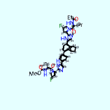 CCC(=O)N[C@H](C(=O)N1C[C@@H](F)CC1c1ncc(-c2ccc(-c3ccc(-c4cnc([C@@H]5C[C@H](F)CN5C(=O)[C@@H](NC(=O)OC)C(C)C)[nH]4)cc3)c3c2C2CCC3C2)[nH]1)C(C)C